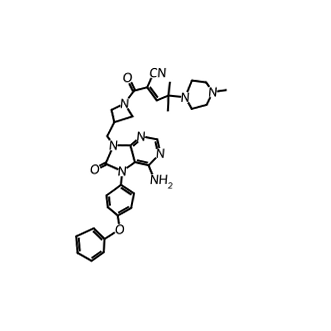 CN1CCN(C(C)(C)C=C(C#N)C(=O)N2CC(Cn3c(=O)n(-c4ccc(Oc5ccccc5)cc4)c4c(N)ncnc43)C2)CC1